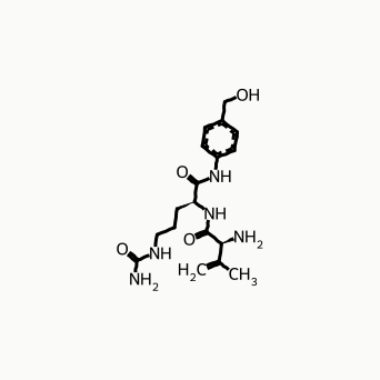 C=C(C)[C@H](N)C(=O)N[C@@H](CCCNC(N)=O)C(=O)Nc1ccc(CO)cc1